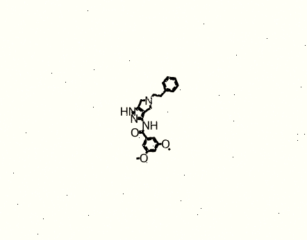 COc1cc(OC)cc(C(=O)Nc2n[nH]c3c2CN(CCc2ccccc2)C3)c1